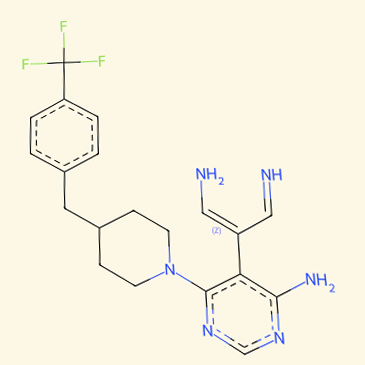 N=C/C(=C\N)c1c(N)ncnc1N1CCC(Cc2ccc(C(F)(F)F)cc2)CC1